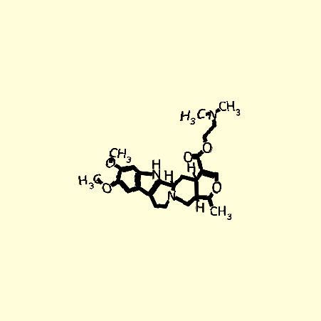 COc1cc2[nH]c3c(c2cc1OC)CCN1C[C@H]2C(C)OC=C(C(=O)OCCN(C)C)[C@H]2C[C@@H]31